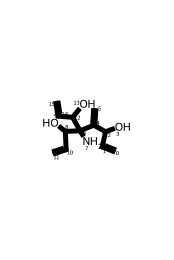 C=CC(O)C(=C)C(N)(C(O)C=C)C(O)C=C